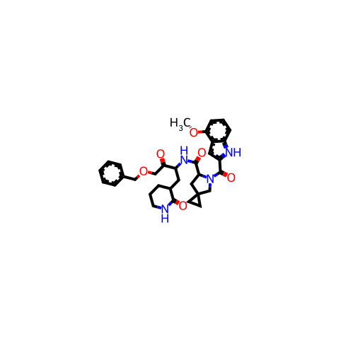 COc1cccc2[nH]c(C(=O)N3CC4(CC4)CC3C(=O)NC(CC3CCCNC3=O)C(=O)COCc3ccccc3)cc12